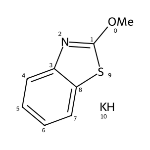 COc1nc2ccccc2s1.[KH]